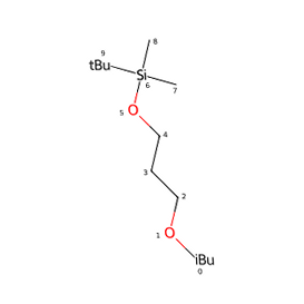 CCC(C)OCCCO[Si](C)(C)C(C)(C)C